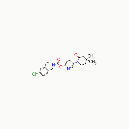 CC1(C)CCN(c2ccc(OC(=O)N3CCc4cc(Cl)ccc4C3)nc2)C(=O)C1